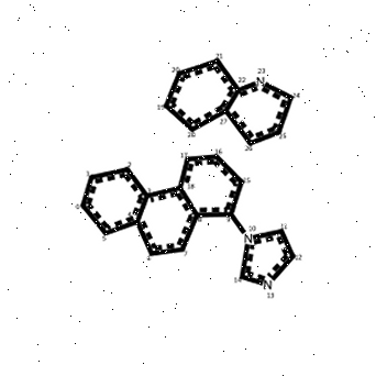 c1ccc2c(c1)ccc1c(-n3ccnc3)cccc12.c1ccc2ncccc2c1